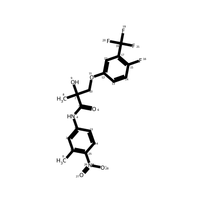 Cc1cc(NC(=O)C(C)(O)COc2ccc(F)c(C(F)(F)F)c2)ccc1[N+](=O)[O-]